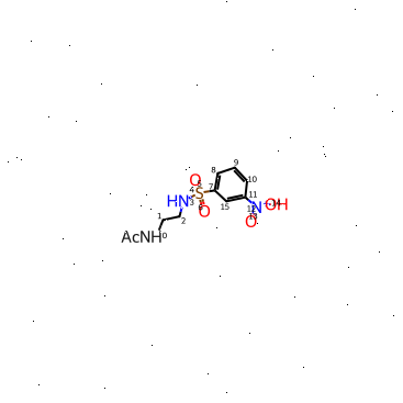 CC(=O)NCCNS(=O)(=O)c1cccc([N+](=O)O)c1